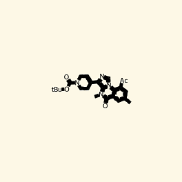 CC(=O)c1cc(C)cc2c(=O)n(C)c3c(C4=CCN(C(=O)OC(C)(C)C)CC4)ncn3c12